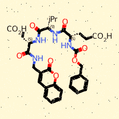 CC(C)[C@H](NC(=O)[C@H](CCC(=O)O)NC(=O)OCc1ccccc1)C(=O)N[C@@H](CC(=O)O)C(=O)NCc1cc2ccccc2oc1=O